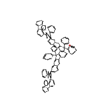 c1ccc(N(c2ccc3cc4c(cc3c2)C(c2ccccc2)(c2ccccc2)c2ccc3c(c2-4)C(c2ccccc2)(c2ccccc2)c2cc4cc(N(c5ccccc5)c5cccc6c5oc5ccccc56)ccc4cc2-3)c2cccc3c2oc2ccccc23)cc1